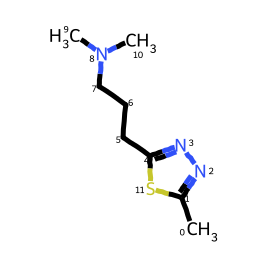 Cc1nnc(CCCN(C)C)s1